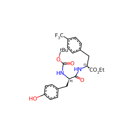 CCOC(=O)[C@H](Cc1ccc(C(F)(F)F)cc1)NC(=O)[C@@H](Cc1ccc(O)cc1)NC(=O)OC(C)(C)C